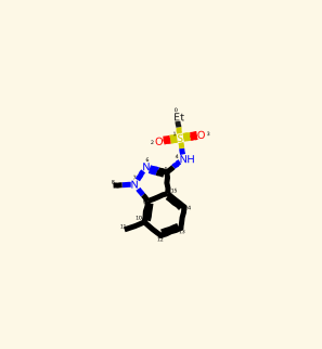 CCS(=O)(=O)Nc1nn(C)c2c(C)cccc12